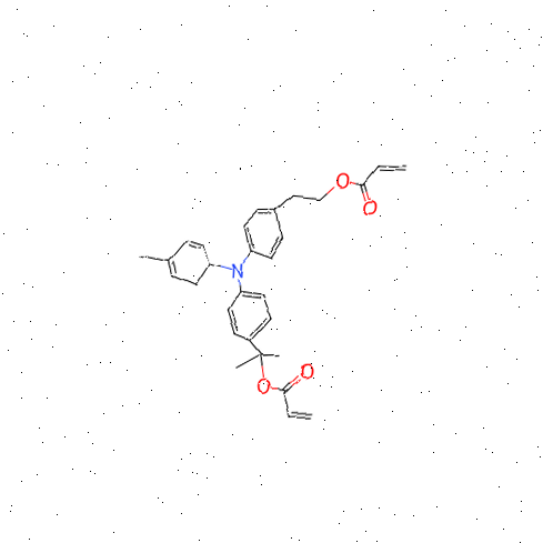 C=CC(=O)OCCc1ccc(N(c2ccc(C(C)(C)OC(=O)C=C)cc2)C2C=CC(C)=CC2)cc1